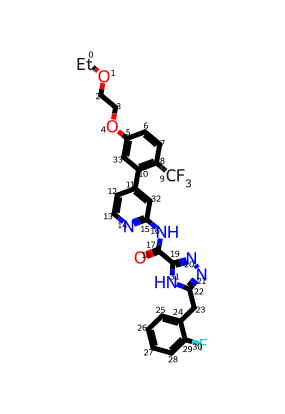 CCOCCOc1ccc(C(F)(F)F)c(-c2ccnc(NC(=O)c3nnc(Cc4ccccc4F)[nH]3)c2)c1